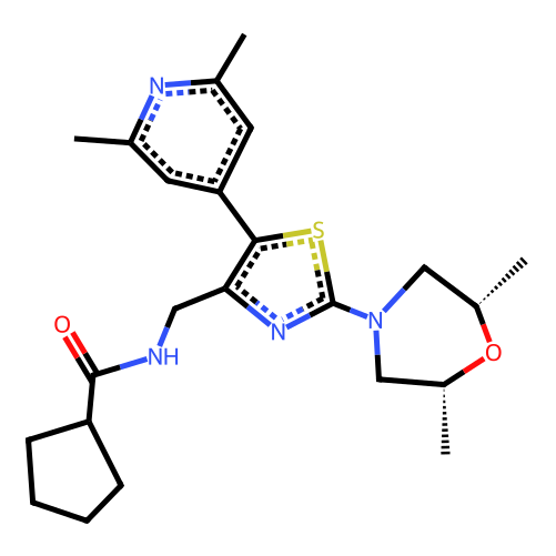 Cc1cc(-c2sc(N3C[C@@H](C)O[C@@H](C)C3)nc2CNC(=O)C2CCCC2)cc(C)n1